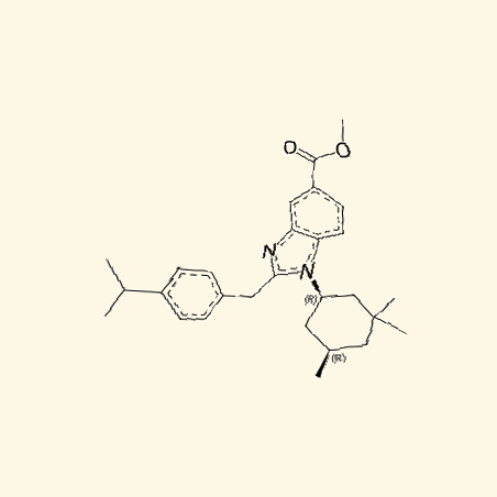 COC(=O)c1ccc2c(c1)nc(Cc1ccc(C(C)C)cc1)n2[C@@H]1C[C@H](C)CC(C)(C)C1